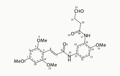 COc1cc(OC)c(/C=C/C(=O)Nc2ccc(OC)c(NC(=O)CCC=O)c2)c(OC)c1